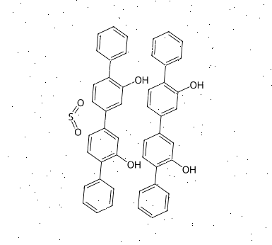 O=S=O.Oc1cc(-c2ccc(-c3ccccc3)c(O)c2)ccc1-c1ccccc1.Oc1cc(-c2ccc(-c3ccccc3)c(O)c2)ccc1-c1ccccc1